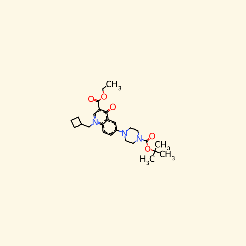 CCOC(=O)c1cn(CC2CCC2)c2ccc(N3CCN(C(=O)OC(C)(C)C)CC3)cc2c1=O